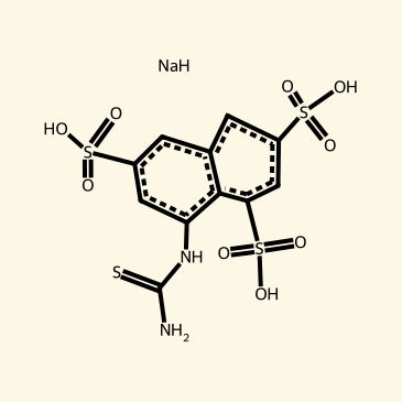 NC(=S)Nc1cc(S(=O)(=O)O)cc2cc(S(=O)(=O)O)cc(S(=O)(=O)O)c12.[NaH]